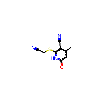 Cc1cc(=O)[nH]c(SCC#N)c1C#N